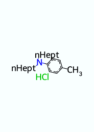 CCCCCCCN(CCCCCCC)c1ccc(C)cc1.Cl